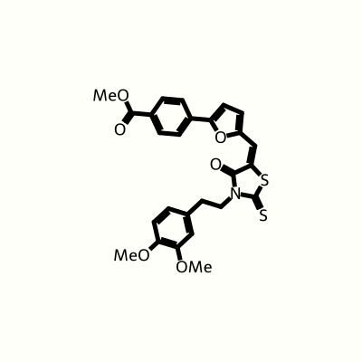 COC(=O)c1ccc(-c2ccc(C=C3SC(=S)N(CCc4ccc(OC)c(OC)c4)C3=O)o2)cc1